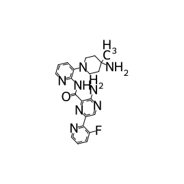 CC1(N)CCN(c2cccnc2NC(=O)c2nc(-c3ncccc3F)cnc2N)CC1